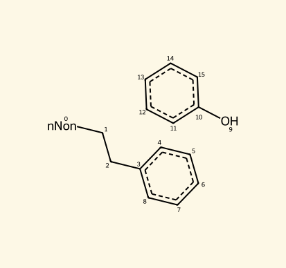 CCCCCCCCCCCc1ccccc1.Oc1ccccc1